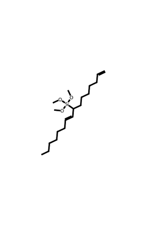 C=CCCCCCC(/C=C/CCCCCC)[Si](OC)(OC)OC